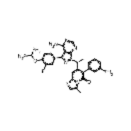 Cc1csc2cc([C@H](C)n3nc(-c4ccc(OC(P)P)c(F)c4)c4c(N)ncnc43)c(-c3cccc(P)c3)c(=O)n12